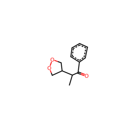 CC(C(=O)c1ccccc1)C1COOC1